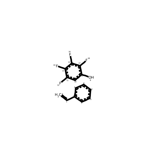 C=Cc1ccccc1.Oc1cc(F)c(F)c(F)c1F